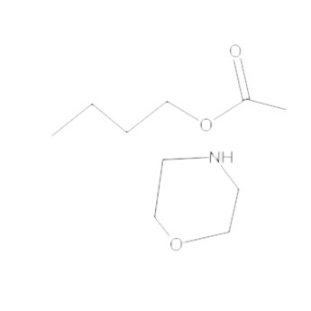 C1COCCN1.CCCCOC(C)=O